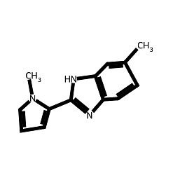 Cc1ccc2nc(-c3cccn3C)[nH]c2c1